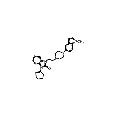 Cn1ccc2cc(N3CCN(CCn4c(=O)n(C5=CCCCC5)c5ccccc54)CC3)ccc21